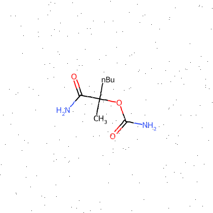 CCCCC(C)(OC(N)=O)C(N)=O